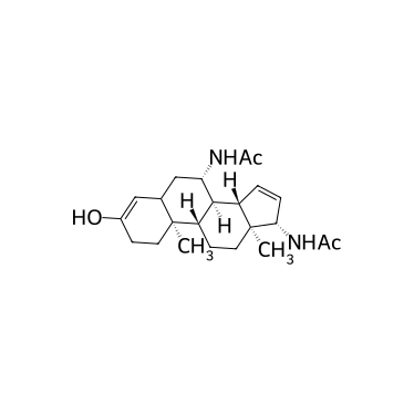 CC(=O)N[C@H]1CC2C=C(O)CC[C@]2(C)[C@H]2CC[C@]3(C)[C@@H](NC(C)=O)C=C[C@H]3[C@H]12